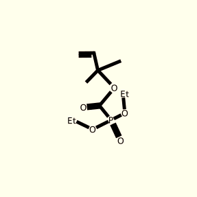 C=CC(C)(C)OC(=O)P(=O)(OCC)OCC